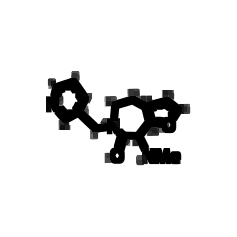 CNC1C(=O)N(Cc2cccnc2)CCc2ccoc21